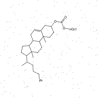 CCCCCCCCOC(=O)OC1CCC2(C)C(=CCC3C2CCC2(C)C(C(C)CCCC(C)C)CCC32)C1